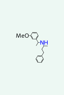 COc1cccc(C(C)NC(C)CCc2ccccc2)c1